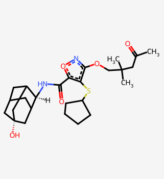 CC(=O)CC(C)(C)COc1noc(C(=O)N[C@H]2C3CC4CC2C[C@](O)(C4)C3)c1SC1CCCC1